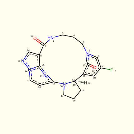 O=C1NCCCn2cc(F)cc(c2=O)[C@H]2CCCN2c2ccn3ncc1c3n2